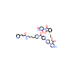 O=C(/C=C/c1cccnc1)NCCCCC1CCN(C(=O)c2ccc(N3CCC(N4CCNCC4C(=O)COCCSc4cccc5c4C(=O)N(C4CCC(=O)NC4=O)C5=O)CC3)nc2)CC1